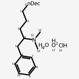 CCCCCCCCCCCCCC(Cc1ccccc1)N(C)C.Cl.O.O